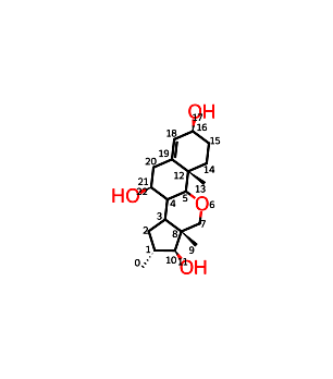 C[C@@H]1CC2C3C(OC[C@]2(C)[C@H]1O)[C@@]1(C)CC[C@H](O)C=C1C[C@@H]3O